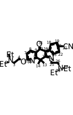 CCN(CC)CCOc1ccc2c(n1)C(C)(C)c1c(c3ccc(C#N)cc3n1CCN(CC)CC)C2=O